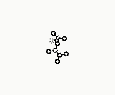 CC1(C)c2cc(-c3nc(-c4ccccc4)nc(-c4cc(-c5ccccc5)cc(-c5ccccc5)c4)n3)ccc2-c2c(-c3ccccc3)sc(-c3ccccc3)c21